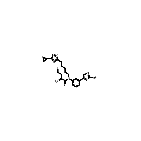 C=C(CCF)C(=O)N(CCCCCc1nc(C2CC2)no1)c1cccc(-c2cnc(CCC)o2)c1